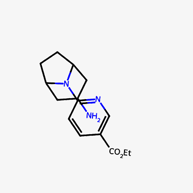 CCOC(=O)c1ccc(N2C3CCC2CC(N)C3)nc1